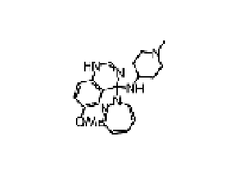 COc1ccc2c(c1)C(NC1CCN(C)CC1)(N1C=CC=CC=N1)N=CN2